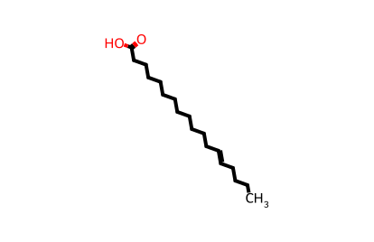 CCCC/C=C/CCCCCCCCCCCC(=O)O